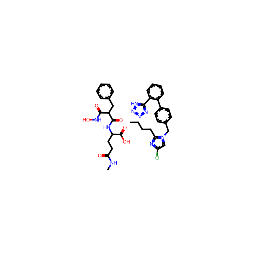 CCCCc1nc(Cl)cn1Cc1ccc(-c2ccccc2-c2nnn[nH]2)cc1.CNC(=O)CCC(NC(=O)C(Cc1ccccc1)C(=O)NO)C(=O)O